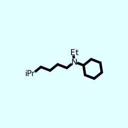 CCN(CCCCC(C)C)C1CCCCC1